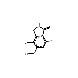 CC(C)Oc1cc(I)c2c(c1Cl)CNC2=O